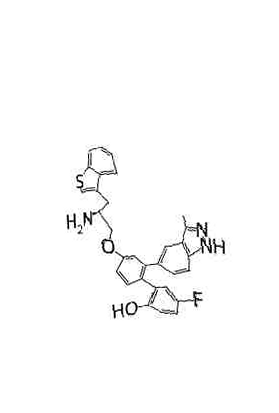 Cc1n[nH]c2ccc(-c3cc(OC[C@@H](N)Cc4csc5ccccc45)ccc3-c3cc(F)ccc3O)cc12